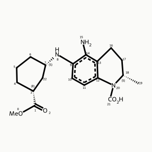 COC(=O)[C@@H]1CCC[C@H](Nc2ccc3c(c2N)CC[C@H](C)N3C(=O)O)C1